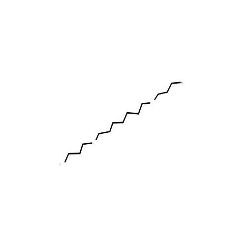 CC(C)CCCOCCCCCCCOCCCC(C)C